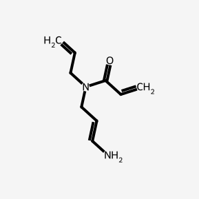 C=CCN(CC=CN)C(=O)C=C